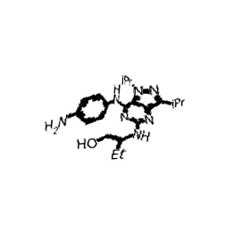 CCC(CO)Nc1nc(Nc2ccc(N)cc2)c2c(n1)c(C(C)C)nn2C(C)C